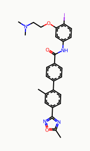 Cc1nc(-c2ccc(-c3ccc(C(=O)Nc4ccc(I)c(OCCN(C)C)c4)cc3)c(C)c2)no1